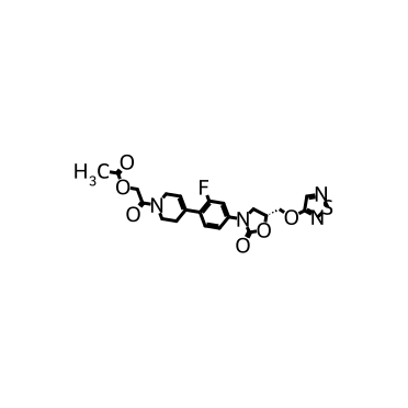 CC(=O)OCC(=O)N1CC=C(c2ccc(N3C[C@H](COc4cnsn4)OC3=O)cc2F)CC1